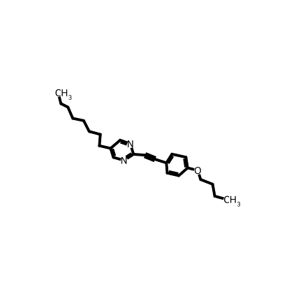 CCCCCCCCc1cnc(C#Cc2ccc(OCCCC)cc2)nc1